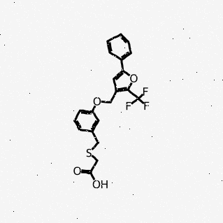 O=C(O)CSCc1cccc(OCc2cc(-c3ccccc3)oc2C(F)(F)F)c1